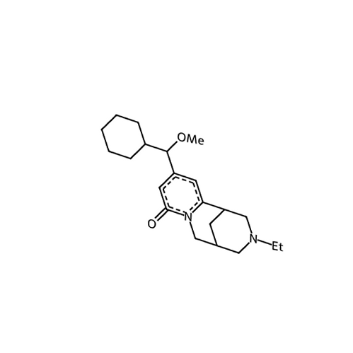 CCN1CC2CC(C1)c1cc(C(OC)C3CCCCC3)cc(=O)n1C2